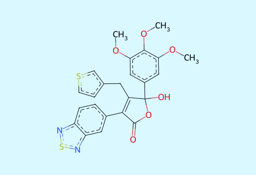 COc1cc(C2(O)OC(=O)C(c3ccc4nsnc4c3)=C2Cc2ccsc2)cc(OC)c1OC